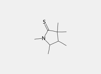 CC1C(C)C(C)(C)C(=S)N1C